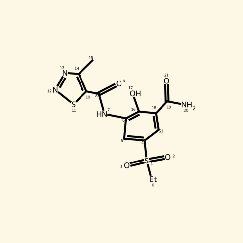 CCS(=O)(=O)c1cc(NC(=O)c2snnc2C)c(O)c(C(N)=O)c1